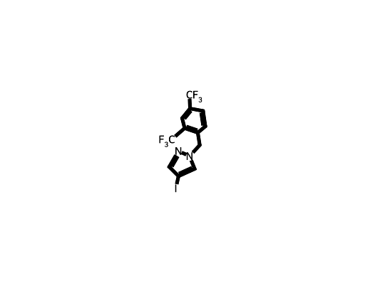 FC(F)(F)c1ccc(Cn2cc(I)cn2)c(C(F)(F)F)c1